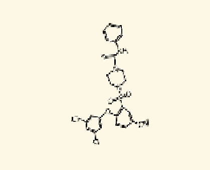 N#Cc1ccc(Oc2cc(Cl)cc(Cl)c2)c(S(=O)(=O)N2CCN(C(=S)Nc3ccccc3)CC2)c1